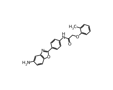 Cc1ccccc1OCC(=O)Nc1ccc(-c2nc3cc(N)ccc3o2)cc1